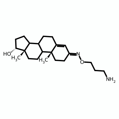 C[C@]12CCC(=NOCCCN)C=C1CCC1C2CC[C@@]2(C)C1CC[C@H]2O